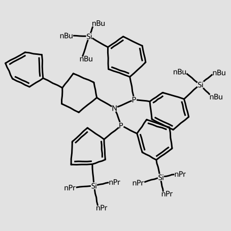 CCCC[Si](CCCC)(CCCC)c1cccc(P(c2cccc([Si](CCCC)(CCCC)CCCC)c2)N(C2CCC(c3ccccc3)CC2)P(c2cccc([Si](CCC)(CCC)CCC)c2)c2cccc([Si](CCC)(CCC)CCC)c2)c1